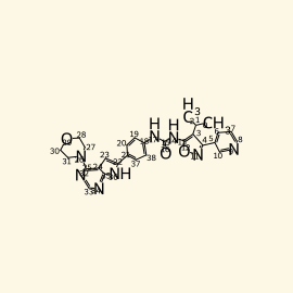 CC(C)c1c(-c2cccnc2)noc1NC(=O)Nc1ccc(-c2cc3c(N4CCOCC4)ncnc3[nH]2)cc1